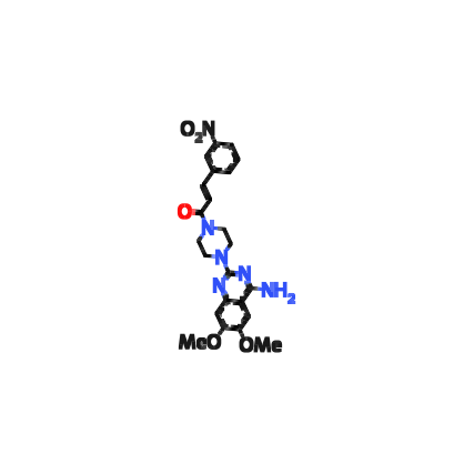 COc1cc2nc(N3CCN(C(=O)/C=C/c4cccc([N+](=O)[O-])c4)CC3)nc(N)c2cc1OC